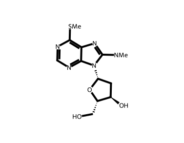 CNc1nc2c(SC)ncnc2n1[C@@H]1C[C@@H](O)[C@H](CO)O1